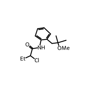 CCC(Cl)C(=O)Nc1ccccc1CC(C)(C)OC